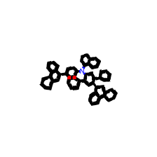 c1ccc(-c2cc(N(c3ccc(-c4cc5ccccc5c5ccccc45)cc3)c3cccc4ccccc34)c(-c3ccccc3)cc2-c2cc3ccccc3c3ccccc23)cc1